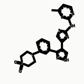 Cc1ccnc(Nc2nc(-c3c[nH]nc3-c3cccc(N4CCS(=O)(=O)CC4)c3)cs2)n1